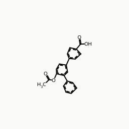 CC(=O)Oc1ccc(-c2ccc(C(=O)O)cc2)cc1-c1ccccc1